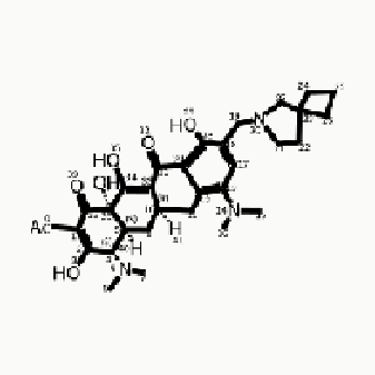 CC(=O)C1=C(O)[C@@H](N(C)C)[C@@H]2C[C@@H]3Cc4c(N(C)C)cc(CN5CCC6(CCC6)C5)c(O)c4C(=O)C3=C(O)[C@]2(O)C1=O